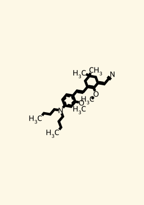 CCCCN(CCCC)c1ccc(/C=C/C2=C(OC)C(=C/C#N)/CC(C)(C)C2)c(OC)c1